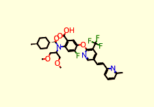 COCC(COC)N(c1cc(F)c(Oc2ncc(/C=C/c3cccc(C)n3)cc2C(F)(F)F)cc1C(=O)O)C(=O)[C@H]1CC[C@H](C)CC1